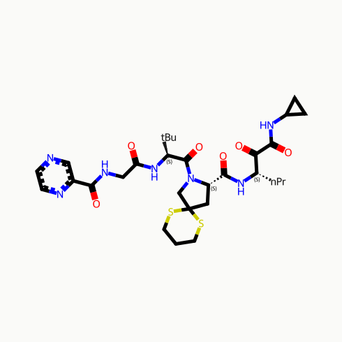 CCC[C@H](NC(=O)[C@@H]1CC2(CN1C(=O)[C@@H](NC(=O)CNC(=O)c1cnccn1)C(C)(C)C)SCCCS2)C(=O)C(=O)NC1CC1